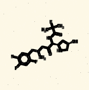 CC(C)(F)C(=O)NC(C(=O)CC(N)Cc1cc(F)c(F)cc1F)[C@@H]1C[C@H](O)CN1